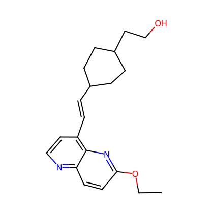 CCOc1ccc2nccc(/C=C/C3CCC(CCO)CC3)c2n1